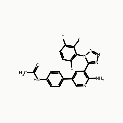 CC(=O)Nc1ccc(-c2cnc(N)c(-c3nnnn3-c3c(F)ccc(F)c3F)c2)cc1